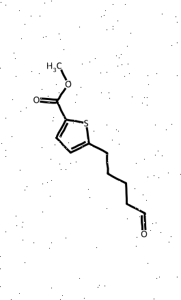 COC(=O)c1ccc(CCCCC=O)s1